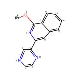 CC(C)Oc1nc(-c2cnccn2)cc2ccccc12